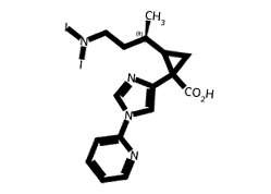 C[C@H](CCN(I)I)C1CC1(C(=O)O)c1cn(-c2ccccn2)cn1